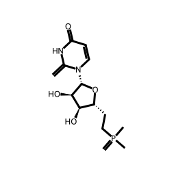 C=C1NC(=O)C=CN1[C@@H]1O[C@H](CCP(=C)(C)C)[C@@H](O)[C@H]1O